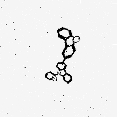 c1ccc(-n2c3ccccc3c3cc(-c4ccc5oc6ccccc6c5c4)ccc32)nc1